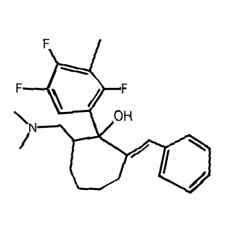 Cc1c(F)c(F)cc(C2(O)C(=Cc3ccccc3)CCCCC2CN(C)C)c1F